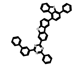 c1ccc(-c2cccc(-c3nc(-c4ccccc4)nc(-c4ccc5c(c4)oc4ccc(-c6ccc(-c7ccccc7)c7sc8ccccc8c67)cc45)n3)c2)cc1